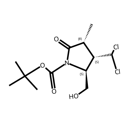 C[C@H]1C(=O)N(C(=O)OC(C)(C)C)[C@H](CO)[C@H]1C(Cl)Cl